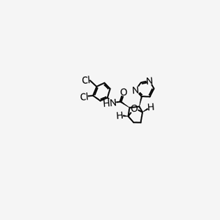 O=C(Nc1ccc(Cl)c(Cl)c1)[C@H]1[C@@H](c2ccncn2)[C@@H]2CC[C@H]1O2